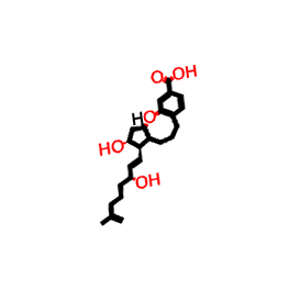 C=C(C)CCC[C@H](O)/C=C/[C@@H]1C2CCCc3ccc(C(=O)O)cc3O[C@H]2C[C@H]1O